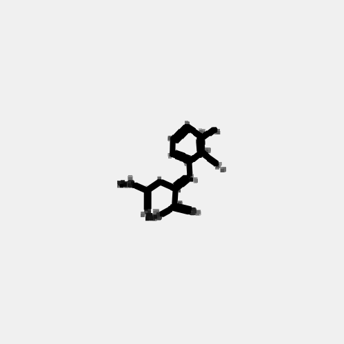 COC(=O)C/C(=N\c1cccc(C)c1F)C(=O)OC